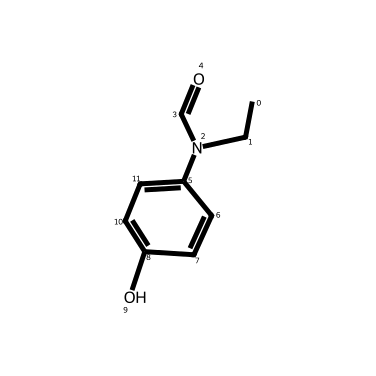 CCN(C=O)c1ccc(O)cc1